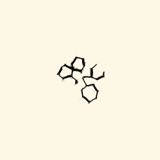 C/C=C\C(=C/C)[Si](C(=O)c1ccccc1)(c1ccccc1)C1C=CCC=CC1